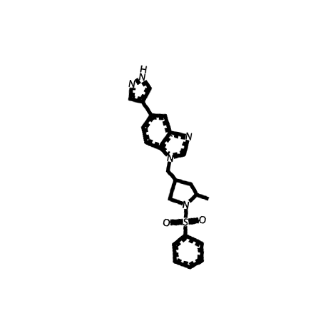 CC1CC(Cn2cnc3cc(-c4cn[nH]c4)ccc32)CN1S(=O)(=O)c1ccccc1